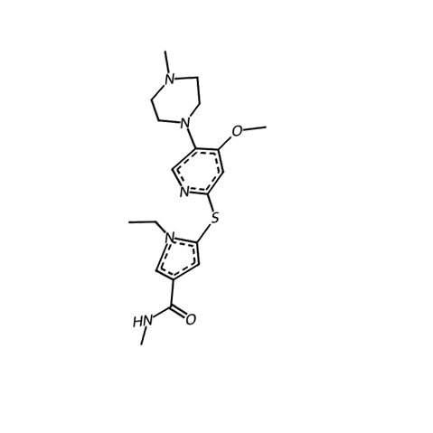 CCn1cc(C(=O)NC)cc1Sc1cc(OC)c(N2CCN(C)CC2)cn1